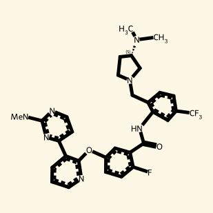 CNc1nccc(-c2cccnc2Oc2ccc(F)c(C(=O)Nc3cc(C(F)(F)F)ccc3CN3CC[C@H](N(C)C)C3)c2)n1